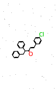 O=C(C=Cc1ccc(Cl)cc1)C(Cc1ccccc1)c1ccccc1